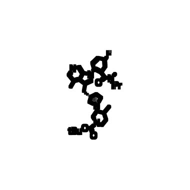 Cc1cncc2c1c(C[C@@H]1CCN(C3CN(C(=O)OC(C)(C)C)CCC3C)C1)cn2-c1ccc(F)cc1C(=O)N(C)C(C)C